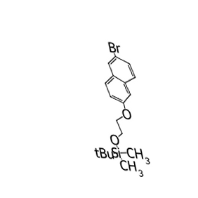 CC(C)(C)[Si](C)(C)OCCOc1ccc2cc(Br)ccc2c1